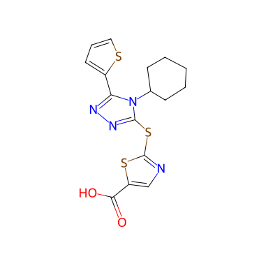 O=C(O)c1cnc(Sc2nnc(-c3cccs3)n2C2CCCCC2)s1